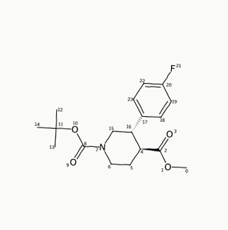 COC(=O)[C@H]1CCN(C(=O)OC(C)(C)C)C[C@@H]1c1ccc(F)cc1